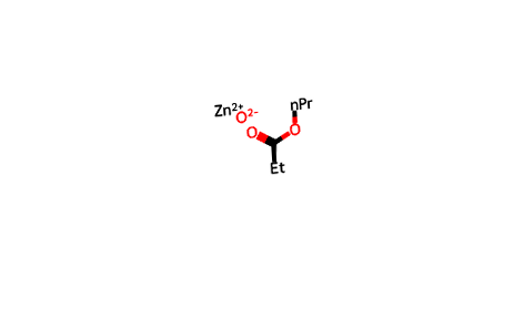 CCCOC(=O)CC.[O-2].[Zn+2]